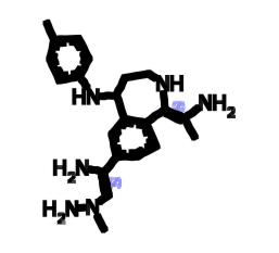 C/C(N)=C1/NCCC(Nc2ccc(C)cc2)c2cc(/C(N)=C/N(C)N)ccc21